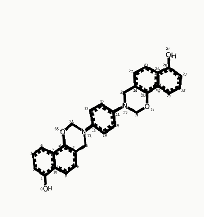 Oc1cccc2c3c(ccc12)CN(c1ccc(N2COc4c(ccc5c(O)cccc45)C2)cc1)CO3